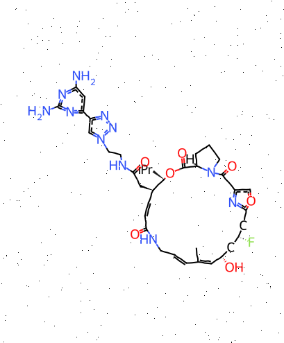 CC1=C\[C@@H](O)C[C@@H](F)Cc2nc(co2)C(=O)N2CCC[C@@H]2C(=O)O[C@H](C(C)C)[C@H](CC(=O)NCCn2cc(-c3cc(N)nc(N)n3)nn2)/C=C/C(=O)NC\C=C\1